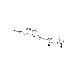 CCCCCCCCCCCCCCC(CCOCCNC(=O)CCN1C(=O)C=CC1=O)C(N)=O